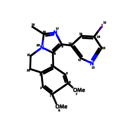 COc1cc2c(cc1OC)-c1c(-c3cncc(I)c3)nc(C)n1CC2